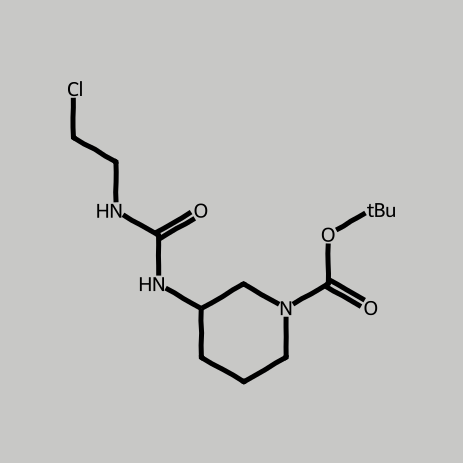 CC(C)(C)OC(=O)N1CCCC(NC(=O)NCCCl)C1